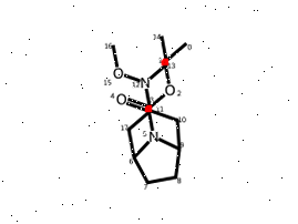 CCOC(=O)N1C2CCC1CC(N(CC)OC)C2